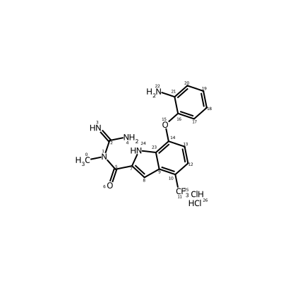 CN(C(=N)N)C(=O)c1cc2c(C(F)(F)F)ccc(Oc3ccccc3N)c2[nH]1.Cl.Cl